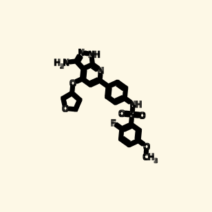 COc1ccc(F)c(S(=O)(=O)Nc2ccc(-c3cc(OC4CCOC4)c4c(N)n[nH]c4n3)cc2)c1